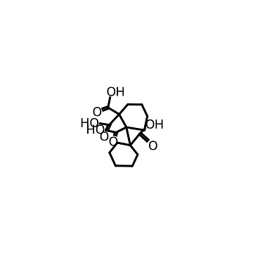 O=C(O)C1(C2(C(=O)O)CCCCC2(C(=O)O)C(=O)O)CCCCC1